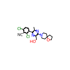 Cc1nc(N2CCC3(CCCO3)CC2)c(CO)nc1-c1ccc(Cl)c(C#N)c1Cl